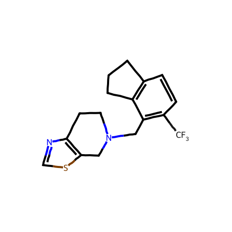 FC(F)(F)c1ccc2c(c1CN1CCc3ncsc3C1)CCC2